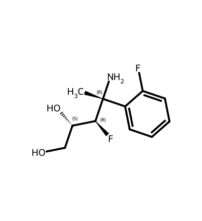 C[C@@](N)(c1ccccc1F)[C@@H](F)[C@@H](O)CO